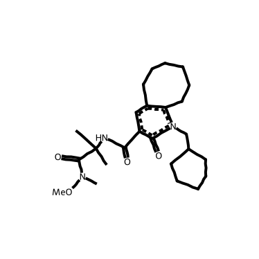 CON(C)C(=O)C(C)(C)NC(=O)c1cc2c(n(CC3CCCCC3)c1=O)CCCCCC2